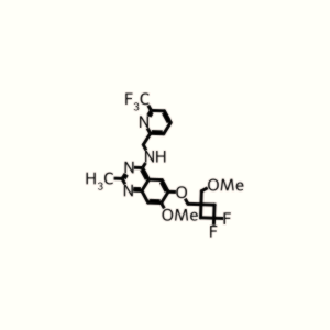 COCC1(COc2cc3c(NCc4cccc(C(F)(F)F)n4)nc(C)nc3cc2OC)CC(F)(F)C1